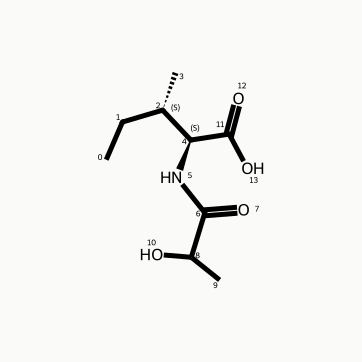 CC[C@H](C)[C@H](NC(=O)C(C)O)C(=O)O